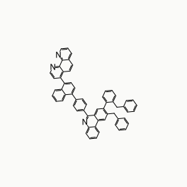 c1ccc(Cc2ccccc2-c2cc3c(-c4ccc(-c5ccc(-c6ccnc7c6ccc6cccnc67)c6ccccc56)cc4)nc4ccccc4c3cc2Cc2ccccc2)cc1